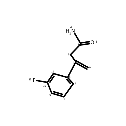 C=C(CC(N)=O)c1cccc(F)c1